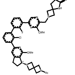 COc1nc(-c2cccc(-c3cccc(-c4cc5c(c(OC)n4)[C@@H](N4CC6(CN(C(C)=O)C6)C4)CC5)c3Cl)c2F)cnc1CN1CC2(CCC(=O)N2)C1